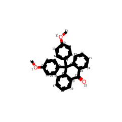 COc1ccc(C2(c3ccc(OC)cc3)c3ccccc3C(=O)c3ccccc32)cc1